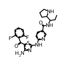 CCC(NC(=O)c1ccc(Nc2nc(N)c(C(=O)c3c(F)cccc3F)s2)nc1)C1CCCN1